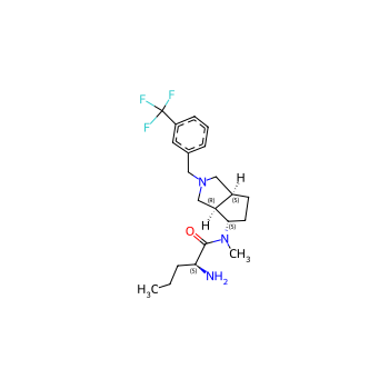 CCC[C@H](N)C(=O)N(C)[C@H]1CC[C@@H]2CN(Cc3cccc(C(F)(F)F)c3)C[C@@H]21